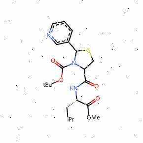 COC(=O)[C@H](CC(C)C)NC(=O)C1CSC(c2cccnc2)N1C(=O)OC(C)(C)C